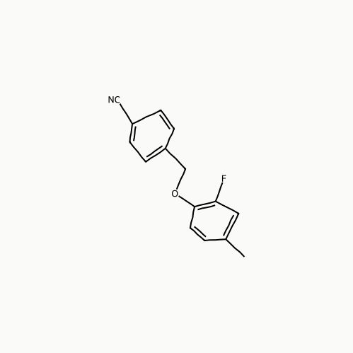 Cc1ccc(OCc2ccc(C#N)cc2)c(F)c1